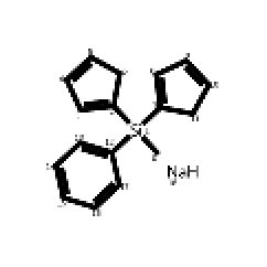 C[Si](C1=CC=CC1)(C1=CC=CC1)c1ccccc1.[NaH]